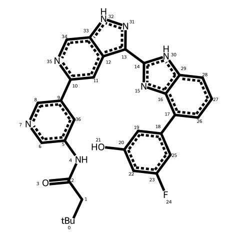 CC(C)(C)CC(=O)Nc1cncc(-c2cc3c(-c4nc5c(-c6cc(O)cc(F)c6)cccc5[nH]4)n[nH]c3cn2)c1